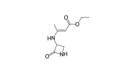 CCOC(=O)C=C(C)NC1CNC1=O